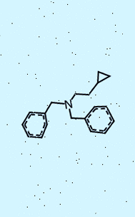 c1ccc(CN(CCC2CC2)Cc2ccccc2)cc1